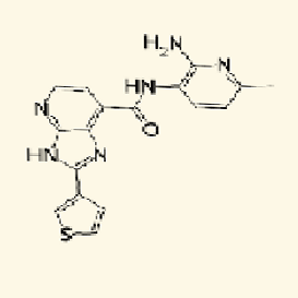 Cc1ccc(NC(=O)c2ccnc3[nH]c(-c4ccsc4)nc23)c(N)n1